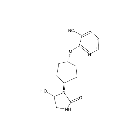 N#Cc1cccnc1O[C@H]1CC[C@H](N2C(=O)NCC2O)CC1